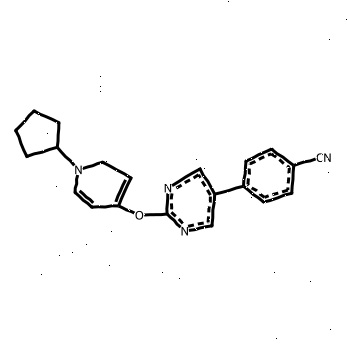 N#Cc1ccc(-c2cnc(OC3=CCN(C4CCCC4)C=C3)nc2)cc1